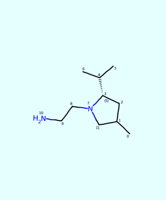 CC1C[C@@H](C(C)C)N(CCN)C1